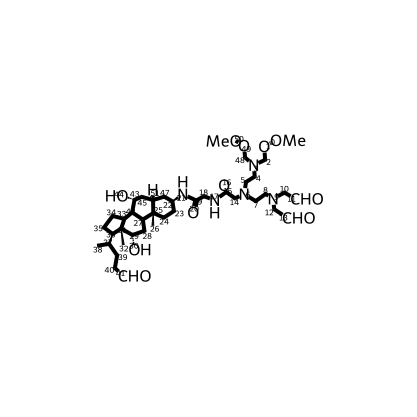 COOCN(CCN(CCN(CC=O)CC=O)CC(=O)NCC(=O)N[C@H]1CC[C@]2(C)C3C[C@H](O)[C@@]4(C)C(CC[C@@H]4C(C)CCC=O)C3[C@H](O)C[C@@H]2C1)COOC